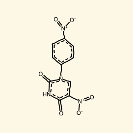 O=c1[nH]c(=O)n(-c2ccc([N+](=O)[O-])cc2)cc1[N+](=O)[O-]